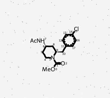 COC(=O)N1CC[C@H](NC(C)=O)C[C@H]1Cc1ccc(Cl)cc1